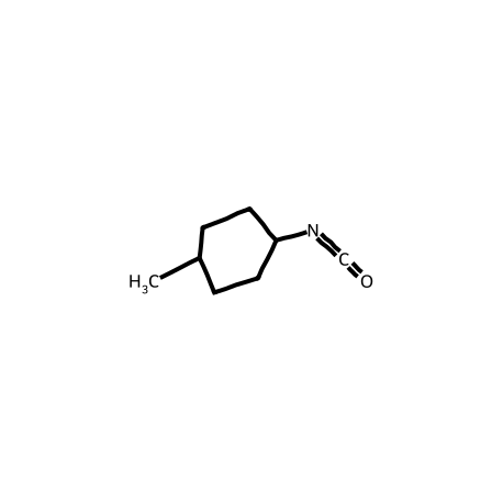 CC1CCC(N=C=O)CC1